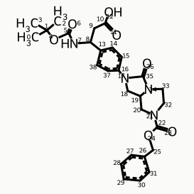 CC(C)(C)OC(=O)NC(CC(=O)O)c1ccc(N2CC3CN(C(=O)OCc4ccccc4)CCN3C2=O)cc1